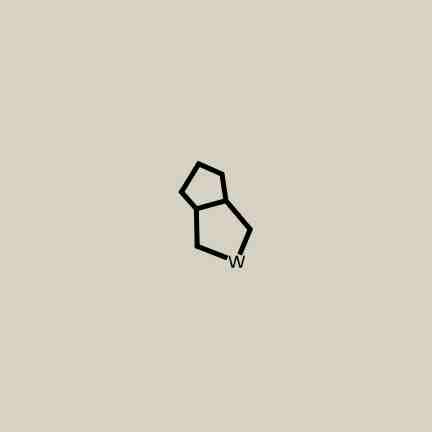 C1CC2[CH2][W][CH2]C2C1